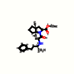 CCCCCCCCCCOC(=O)[C@@H]1C[C@@H]2CCC[C@@H]2N1C(=O)[C@H](C)N[C@@H](CCc1ccccc1)C(=O)O